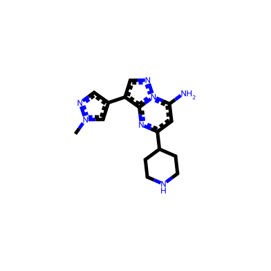 Cn1cc(-c2cnn3c(N)cc(C4CCNCC4)nc23)cn1